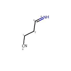 N#CCCC=N